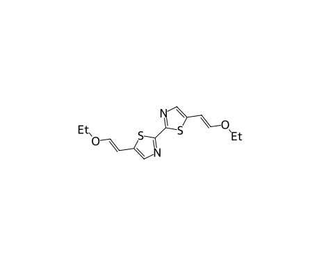 CCOC=Cc1cnc(-c2ncc(C=COCC)s2)s1